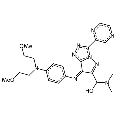 COCCN(CCOC)c1ccc(N=C2C(C(O)N(C)C)=Nn3c2nnc3-c2cnccn2)cc1